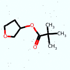 CC(C)(C)C(=O)OC1CCOC1